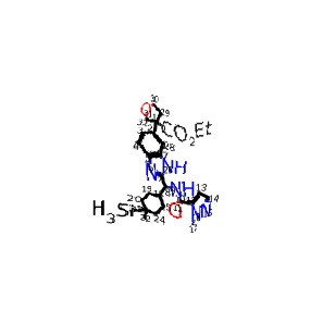 CCOC(=O)C1(c2ccc3nc([C@@H](NC(=O)c4ccnn4C)C4CCC(C)([SiH3])CC4)[nH]c3c2)CCOC1